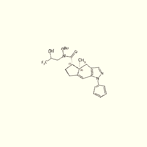 CCCCN(CC(O)C(F)(F)F)C(=O)[C@H]1CCC2=Cc3c(cnn3-c3ccccc3)C[C@@]21C